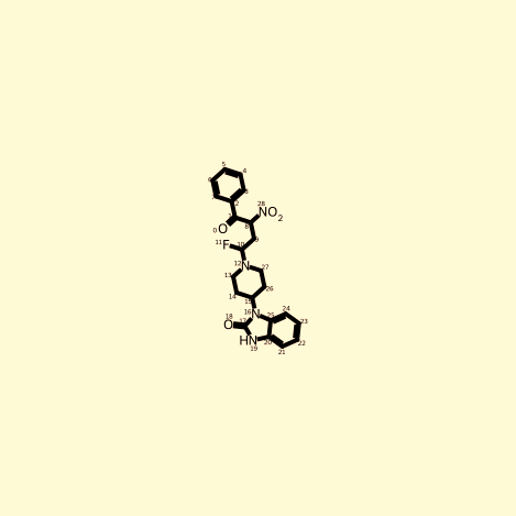 O=C(c1ccccc1)C(CC(F)N1CCC(n2c(=O)[nH]c3ccccc32)CC1)[N+](=O)[O-]